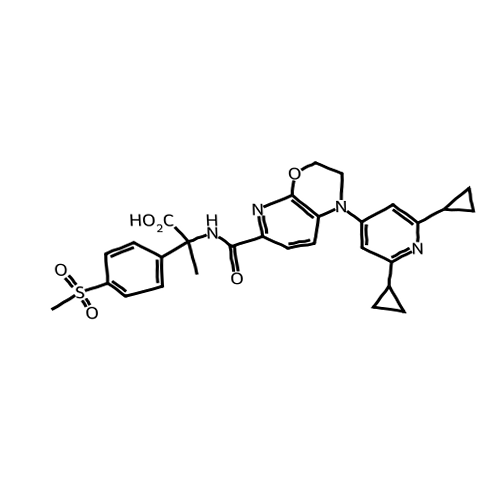 CC(NC(=O)c1ccc2c(n1)OCCN2c1cc(C2CC2)nc(C2CC2)c1)(C(=O)O)c1ccc(S(C)(=O)=O)cc1